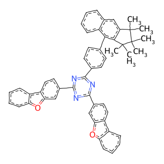 CC1(C)c2cc3ccccc3c(-c3ccc(-c4nc(-c5ccc6c(c5)oc5ccccc56)nc(-c5ccc6c(c5)oc5ccccc56)n4)cc3)c2C(C)(C)C1(C)C